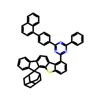 c1ccc(-c2nc(-c3ccc(-c4cccc5ccccc45)cc3)nc(-c3cccc4sc5c6c(ccc5c34)-c3ccccc3C63C4CC5CC(C4)CC3C5)n2)cc1